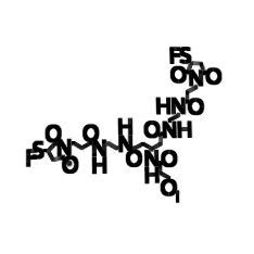 CCOCCC(=O)NC(CC(=O)NCCNC(=O)CCN1C(=O)CC(SF)C1=O)CC(=O)NCCNC(=O)CCN1C(=O)CC(SF)C1=O